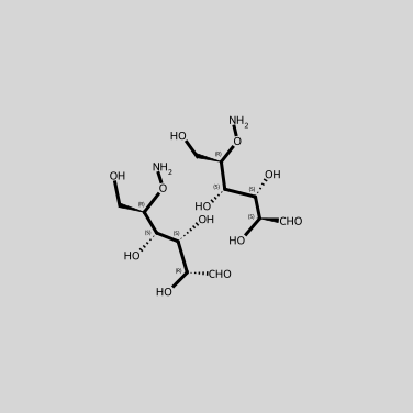 NO[C@H](CO)[C@@H](O)[C@H](O)[C@@H](O)C=O.NO[C@H](CO)[C@@H](O)[C@H](O)[C@H](O)C=O